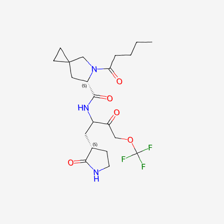 CCCCC(=O)N1CC2(CC2)C[C@H]1C(=O)NC(C[C@@H]1CCNC1=O)C(=O)COC(F)(F)F